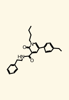 CCCCn1cc(-c2ccc(CC)cc2)cc(C(=O)NCCc2ccccc2)c1=O